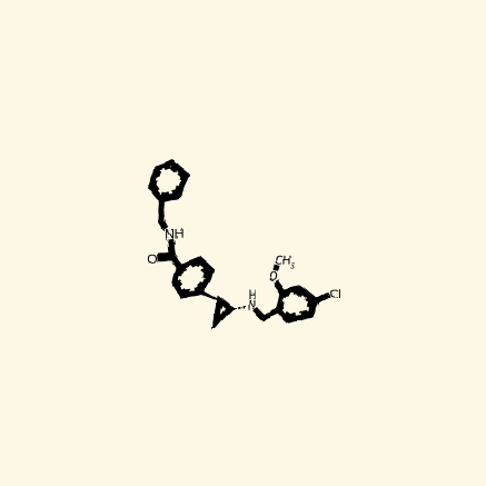 COc1cc(Cl)ccc1CN[C@@H]1C[C@H]1c1ccc(C(=O)NCc2ccccc2)cc1